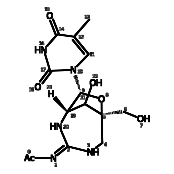 CC(=O)/N=C1/NC[C@]2(CO)O[C@@H](n3cc(C)c(=O)[nH]c3=O)[C@@H](N1)C2O